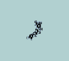 O=C1Cc2cc(NC(=O)C(=O)N3CCN(c4ccc(Cl)c(F)c4)CC3)ccc2N1